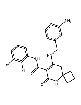 Nc1cc(CNC2=C(C(=S)Nc3cccc(F)c3Cl)C(=O)NC3(CCC3)C2)ccn1